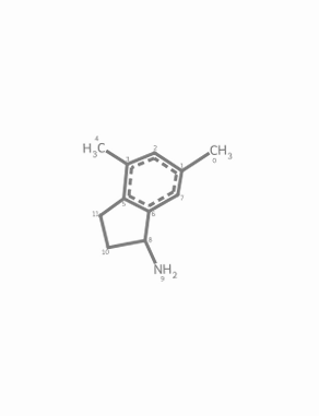 Cc1cc(C)c2c(c1)C(N)CC2